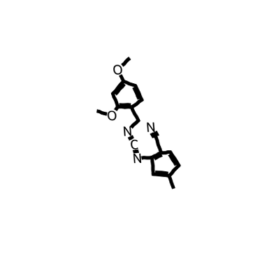 COc1ccc(CN=C=Nc2cc(C)ccc2C#N)c(OC)c1